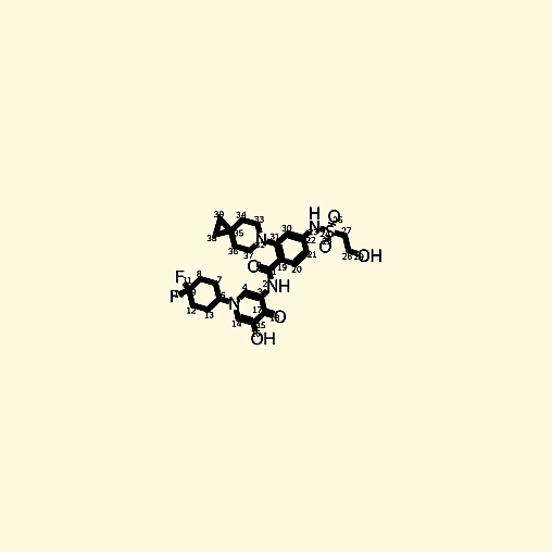 O=C(Nc1cn(C2CCC(F)(F)CC2)cc(O)c1=O)c1ccc(NS(=O)(=O)CCO)cc1N1CCC2(CC1)CC2